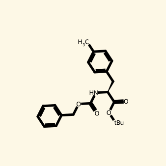 Cc1ccc(C[C@H](NC(=O)OCc2ccccc2)C(=O)OC(C)(C)C)cc1